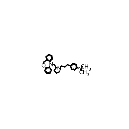 CN(C)c1ccc(CCCN2CCCC2CN2c3ccccc3COc3ccccc32)cc1